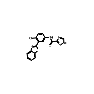 O=C(Nc1ccc(Cl)c(-c2nc3ccccc3s2)c1)c1nc[nH]n1